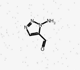 Nn1nncc1[C]=O